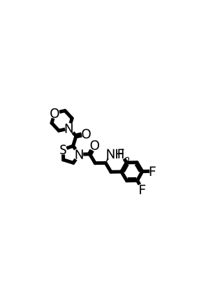 N[C@@H](CC(=O)N1CCSC1C(=O)N1CCOCC1)Cc1cc(F)c(F)cc1F